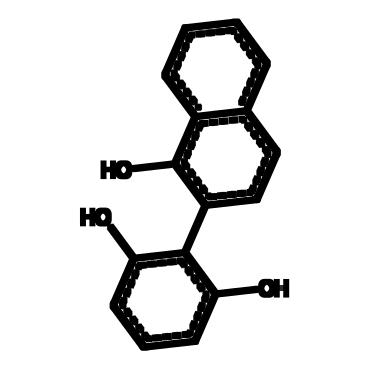 Oc1cccc(O)c1-c1ccc2ccccc2c1O